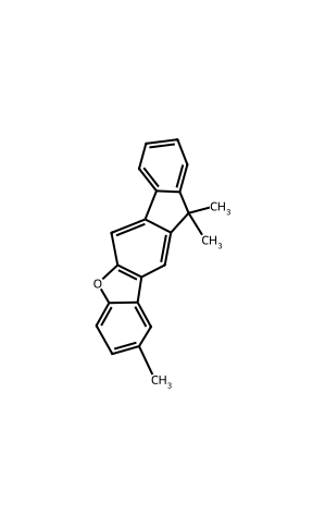 Cc1ccc2oc3cc4c(cc3c2c1)C(C)(C)c1ccccc1-4